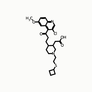 COc1ccc2ncc(Cl)c(C(=O)CCC3CCN(CCSC4CCC4)CC3CC(=O)O)c2c1